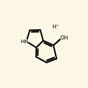 Oc1cccc2[nH]ccc12.[H+]